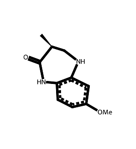 COc1ccc2c(c1)NC[C@H](C)C(=O)N2